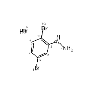 Br.NNc1cc(Br)ccc1Br